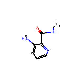 CNC(=O)c1ncccc1N